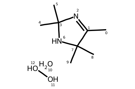 CC1=NC(C)(C)NC1(C)C.O.OO